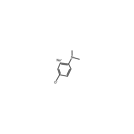 CN(C)c1ccc([O-])cc1.[Na+]